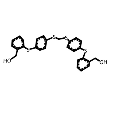 OCc1ccccc1Sc1ccc(SCSc2ccc(Sc3ccccc3CO)cc2)cc1